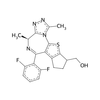 Cc1nnc2n1-c1sc3c(c1C(c1c(F)cccc1F)=N[C@H]2C)CCC3CO